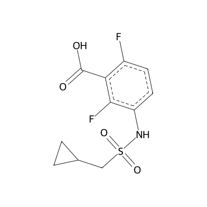 O=C(O)c1c(F)ccc(NS(=O)(=O)CC2CC2)c1F